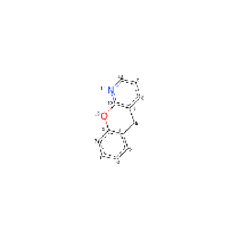 c1ccc2c(c1)Cc1cccnc1O2